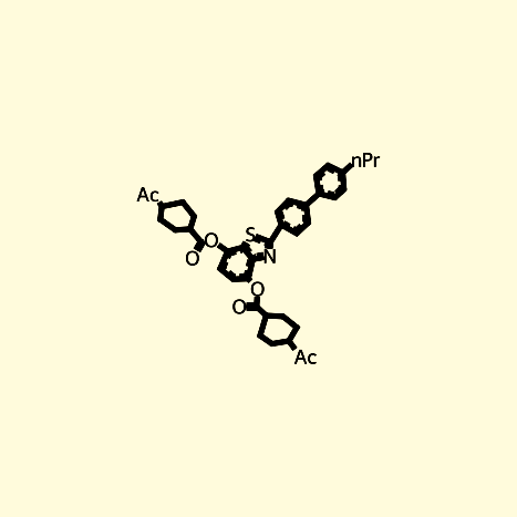 CCCc1ccc(-c2ccc(-c3nc4c(OC(=O)C5CCC(C(C)=O)CC5)ccc(OC(=O)C5CCC(C(C)=O)CC5)c4s3)cc2)cc1